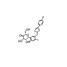 Cc1cc(C)c([C@@H]2O[C@H](CO)C(=O)[C@H](O)[C@H]2O)cc1CC1CC=C(c2ccc(F)cc2)S1